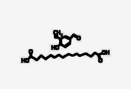 COc1cc(C=O)ccc1O.O=C(O)CCCCCCCCCCCCCCC(=O)O